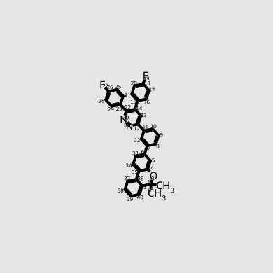 CC1(C)Oc2cc(-c3cccc(-c4cc(-c5ccc(F)cc5)c(-c5ccc(F)cc5)nn4)c3)ccc2-c2ccccc21